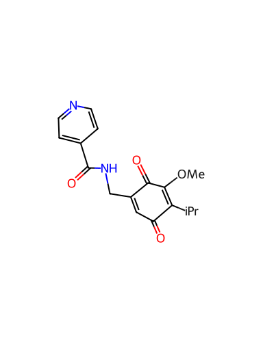 COC1=C(C(C)C)C(=O)C=C(CNC(=O)c2ccncc2)C1=O